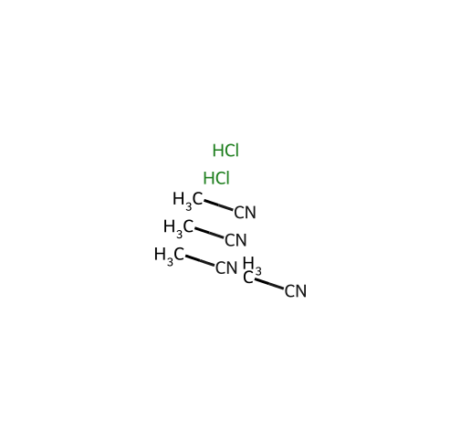 CC#N.CC#N.CC#N.CC#N.Cl.Cl